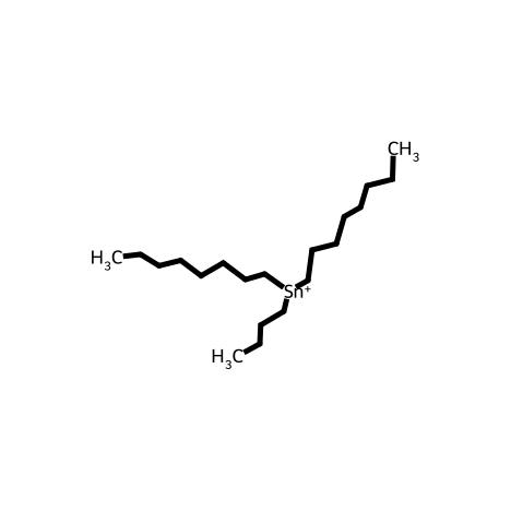 CCCCCCC[CH2][Sn+]([CH2]CCC)[CH2]CCCCCCC